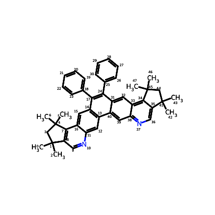 CC1(C)CC(C)(C)c2c1cnc1cc3c(cc21)c(-c1ccccc1)c(-c1ccccc1)c1cc2c4c(cnc2cc13)C(C)(C)CC4(C)C